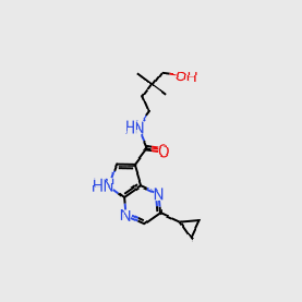 CC(C)(CO)CCNC(=O)c1c[nH]c2ncc(C3CC3)nc12